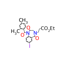 CCOC(=O)CCN1CC(=O)N(C(=O)c2ccc(C)cc2C)c2ccc(I)cc2C1=O